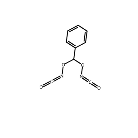 O=C=NOC(ON=C=O)c1ccccc1